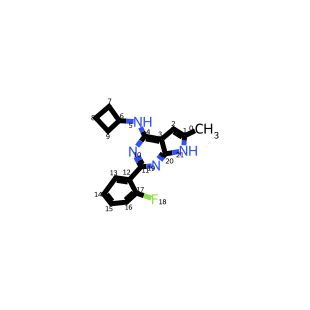 Cc1cc2c(NC3CCC3)nc(-c3ccccc3F)nc2[nH]1